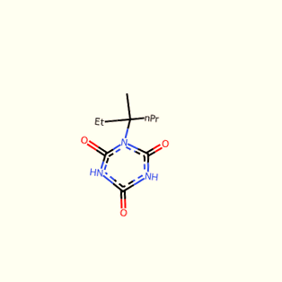 CCCC(C)(CC)n1c(=O)[nH]c(=O)[nH]c1=O